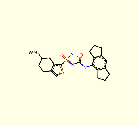 COC1CCc2csc(S(N)(=O)=NC(=O)Nc3c4c(cc5c3CCC5)CCC4)c2C1